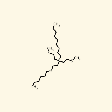 CCCCCCSCC[Si](CCSC)(CCSC)CCSCCCCCC